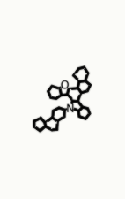 c1ccc2c(c1)ccc1cc(-n3c4ccccc4c4c5ccc6ccccc6c5c5oc6ccccc6c5c43)ccc12